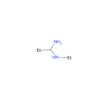 CCNC(N)CC